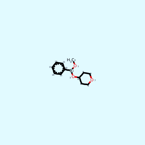 COB(OC1CCOCC1)c1ccccc1